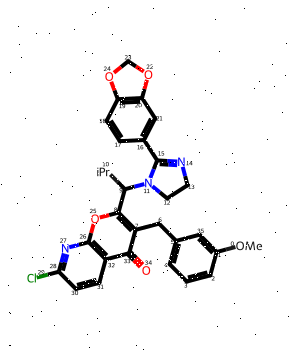 COc1cccc(Cc2c(C(C(C)C)N3CCN=C3c3ccc4c(c3)OCO4)oc3nc(Cl)ccc3c2=O)c1